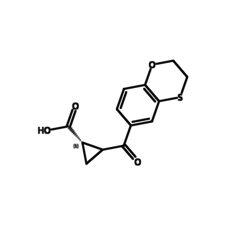 O=C(c1ccc2c(c1)SCCO2)C1C[C@@H]1C(=O)O